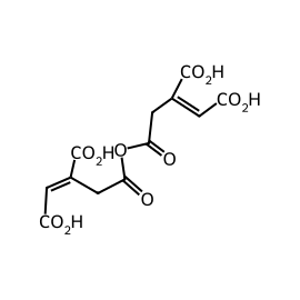 O=C(O)C=C(CC(=O)OC(=O)CC(=CC(=O)O)C(=O)O)C(=O)O